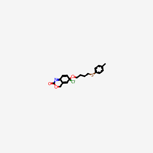 Cc1ccc(SCCCCOC2(Cl)C=CC3=NC(=O)OCC3=C2)cc1